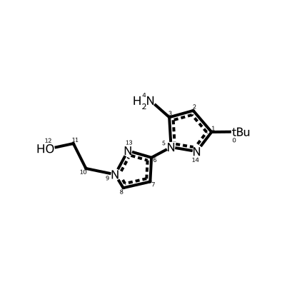 CC(C)(C)c1cc(N)n(-c2ccn(CCO)n2)n1